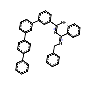 N/C(=N\C(=N/Cc1ccccc1)c1ccccc1)c1cccc(-c2cccc(-c3ccc(-c4ccccc4)cc3)c2)c1